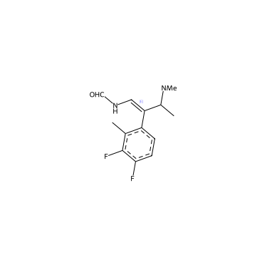 CNC(C)/C(=C/NC=O)c1ccc(F)c(F)c1C